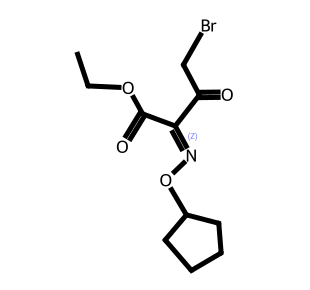 CCOC(=O)/C(=N\OC1CCCC1)C(=O)CBr